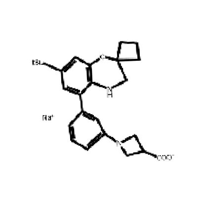 CC(C)(C)c1cc2c(c(-c3cccc(N4CC(C(=O)[O-])C4)c3)c1)NCC1(CCC1)O2.[Na+]